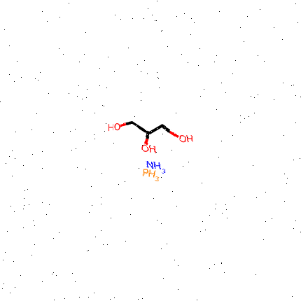 N.OCC(O)CO.P